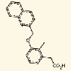 Cc1c(CC(=O)O)cccc1OCc1ccc2ccccc2n1